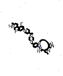 C=C1CCC(c2c(F)cc(N3CCC(C(=C)N4CCN(Cc5ccc6c(c5)N5CCCCCCc7c(cnn7C)-c7cc(cc(C)n7)C(=C)/N=C/5N6)CC4)CC3)cc2F)C(=C)N1